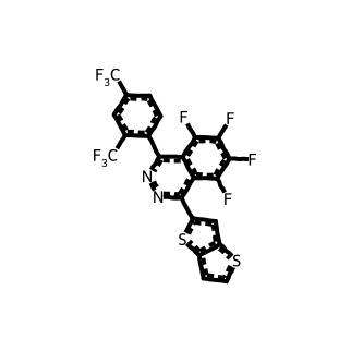 Fc1c(F)c(F)c2c(-c3ccc(C(F)(F)F)cc3C(F)(F)F)nnc(-c3cc4sccc4s3)c2c1F